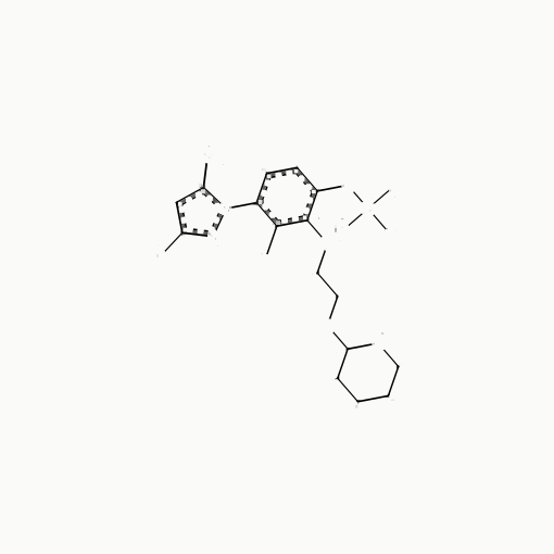 Cc1c(-n2nc(C(C)(C)C)cc2N)ccc(O[Si](C(C)C)(C(C)C)C(C)C)c1OCCOC1CCCCO1